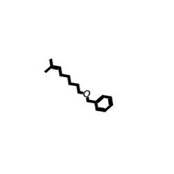 CC(C)=CCCCCCOCc1ccccc1